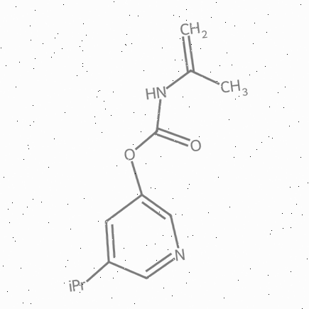 C=C(C)NC(=O)Oc1cncc(C(C)C)c1